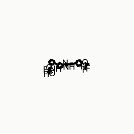 CC(Oc1ccc(C#Cc2nc3cc(-c4ccccc4NS(=O)(=O)C(F)(F)F)ccc3[nH]2)cc1)C(F)(F)F